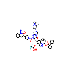 Cc1cc(CC(NC(=O)N2CCC(c3cc4ccccc4[nH]c3=O)CC2)C(=O)N2CCN(C3CCN(C)CC3)CC2)cc2cnn(COC(=O)C3(c4ccccc4)CCCC3)c12.O=C(O)C(F)(F)F